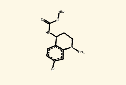 CN1CCC(NC(=O)OC(C)(C)C)c2ccc(Br)cc21